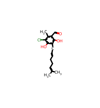 CC(C)=CCCC=CCc1c(O)c(Cl)c(C)c(C=O)c1O